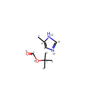 CC(C)(C)OC=O.Cc1cnc[nH]1